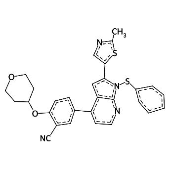 Cc1ncc(-c2cc3c(-c4ccc(OC5CCOCC5)c(C#N)c4)ccnc3n2Sc2ccccc2)s1